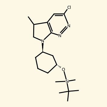 CC1CN([C@@H]2CCC[C@@H](O[Si](C)(C)C(C)(C)C)C2)c2nnc(Cl)cc21